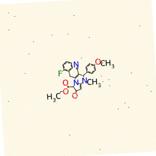 CCOC(=O)C1C(=O)C=C2N(C)C(c3ccc(OC)cc3)C(C#N)=C(Cc3ccccc3F)N21